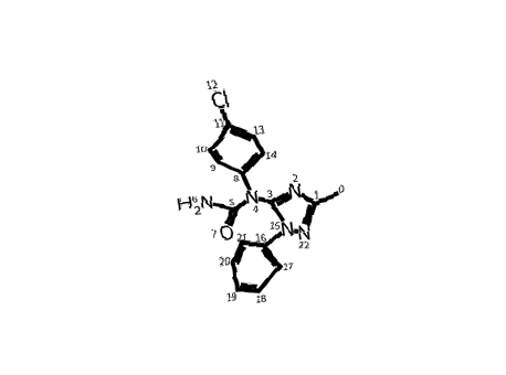 Cc1nc(N(C(N)=O)c2ccc(Cl)cc2)n(-c2ccccc2)n1